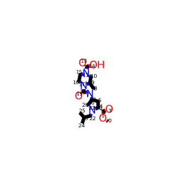 COC(=O)[C@H]1C[C@H](N2CC3CN(C(=O)O)CCN3C2=O)CN1CC(C)C